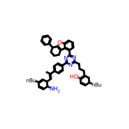 CCCCC1=CC(/C=C(\C)c2ccc(-c3nc(CCCC4=C(O)C=CC(CCCC)C4)nc(-c4cccc5oc6c(c45)CCCC6c4ccccc4)n3)cc2)C(N)C=C1